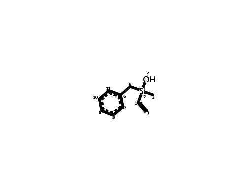 C=C[Si](C)(O)Cc1ccccc1